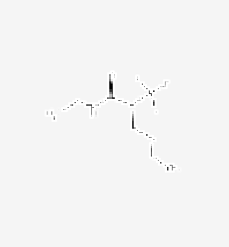 CCNC(=O)C(CSCC)C(F)(F)F